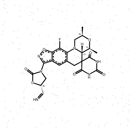 C[C@@H]1CN2c3c(cc4c(N5C[C@H](C=N)OC5=O)noc4c3F)CC3(C(=O)NC(=O)NC3=O)[C@H]2[C@H](C)O1